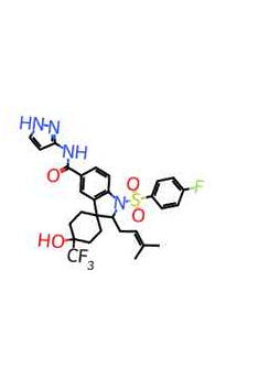 CC(C)=CCC1N(S(=O)(=O)c2ccc(F)cc2)c2ccc(C(=O)Nc3cc[nH]n3)cc2C12CCC(O)(C(F)(F)F)CC2